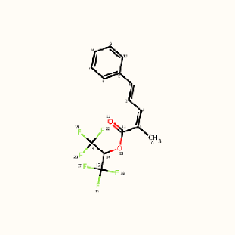 CC(=CC=Cc1ccccc1)C(=O)OC(C(F)(F)F)C(F)(F)F